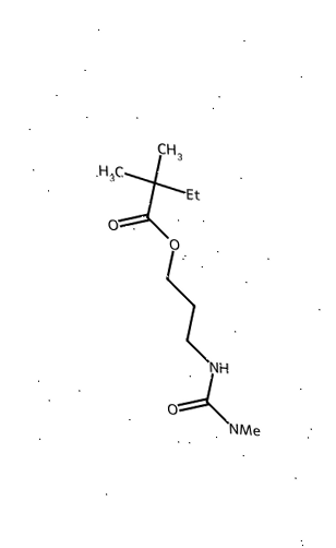 CCC(C)(C)C(=O)OCCCNC(=O)NC